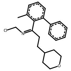 Cc1cccc(-c2ccccc2)c1/C(CCC1CCOCC1)=N\CCl